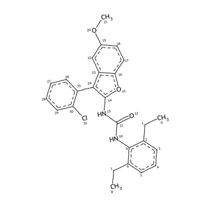 CCc1cccc(CC)c1NC(=O)Nc1oc2ccc(OC)cc2c1-c1ccccc1Cl